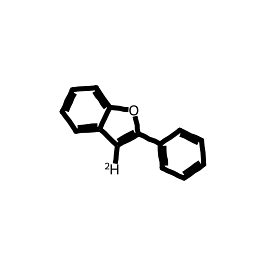 [2H]c1c(-c2ccccc2)oc2ccccc12